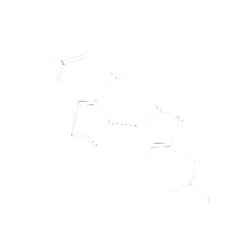 CCC(=O)Oc1cnn(-c2nn(C)c(OC(F)F)c2C)c1N